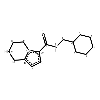 O=C(NCC1CCCCC1)c1ccc2n1CCNC2